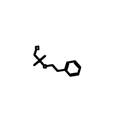 C[Si](C)(CCl)OCCc1ccccc1